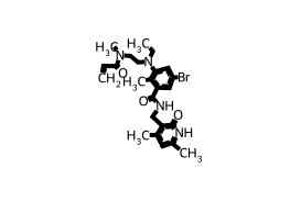 C=CC(=O)N(C)CCN(CC)c1cc(Br)cc(C(=O)NCc2c(C)cc(C)[nH]c2=O)c1C